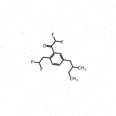 CCC(C)Cc1ccc(CC(F)F)c(C(=O)C(F)F)c1